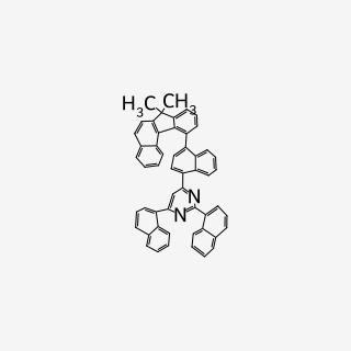 CC1(C)c2cccc(-c3ccc(-c4cc(-c5cccc6ccccc56)nc(-c5cccc6ccccc56)n4)c4ccccc34)c2-c2c1ccc1ccccc21